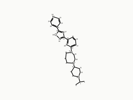 CC(C)N1CCC(N2CCCN(c3cccc(-c4noc(-c5ccncc5)n4)n3)CC2)CC1